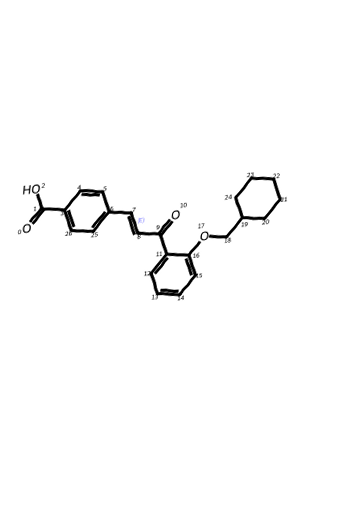 O=C(O)c1ccc(/C=C/C(=O)c2ccccc2OCC2CCCCC2)cc1